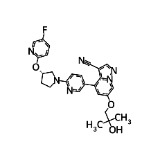 CC(C)(O)COc1cc(-c2ccc(N3CC[C@H](Oc4ccc(F)cn4)C3)nc2)c2c(C#N)cnn2c1